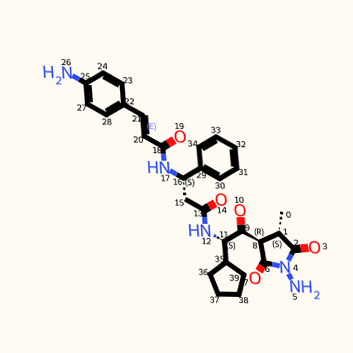 C[C@@H]1C(=O)N(N)C(=O)[C@H]1C(=O)[C@@H](NC(=O)C[C@H](NC(=O)/C=C/c1ccc(N)cc1)c1ccccc1)C1CCCC1